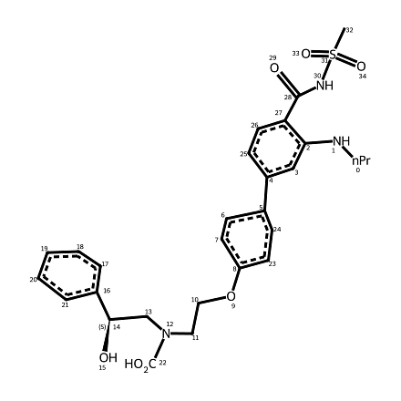 CCCNc1cc(-c2ccc(OCCN(C[C@@H](O)c3ccccc3)C(=O)O)cc2)ccc1C(=O)NS(C)(=O)=O